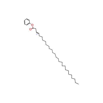 CCCCCCCCCCCCCCCCCCCCCCCC/C=C/CC(=O)Oc1ccccc1